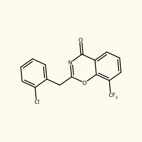 O=c1nc(Cc2ccccc2Cl)oc2c(C(F)(F)F)cccc12